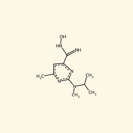 Cc1cc(C(=N)NO)nc(N(C)C(C)C)n1